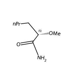 CCCC[C@H](OC)C(N)=O